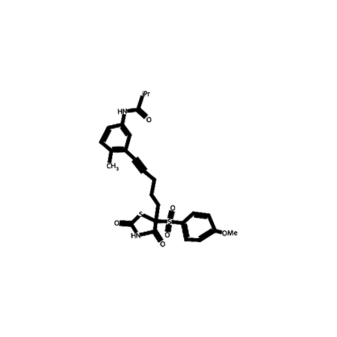 COc1ccc(S(=O)(=O)C2(CCCC#Cc3cc(NC(=O)C(C)C)ccc3C)SC(=O)NC2=O)cc1